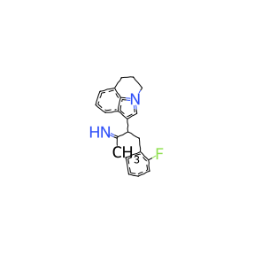 CC(=N)C(Cc1ccccc1F)c1cn2c3c(cccc13)CCC2